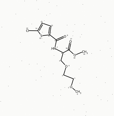 COCCOCC(NC(=O)c1ccc(Cl)s1)C(=O)OC